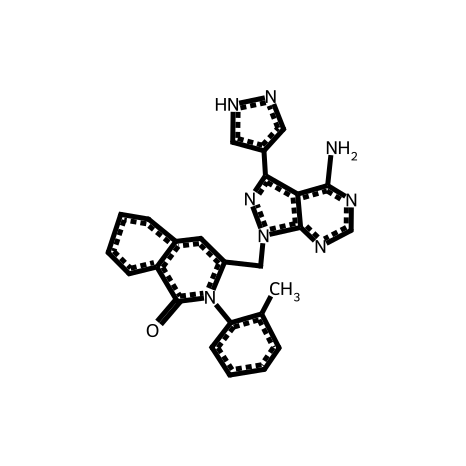 Cc1ccccc1-n1c(Cn2nc(-c3cn[nH]c3)c3c(N)ncnc32)cc2ccccc2c1=O